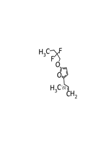 C=C[C@H](C)c1ccc(OCC(F)(F)CC)o1